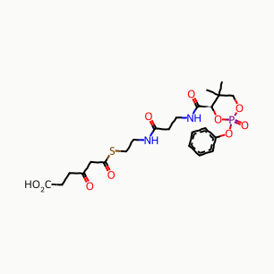 CC1(C)COP(=O)(Oc2ccccc2)O[C@H]1C(=O)NCCC(=O)NCCSC(=O)CC(=O)CCC(=O)O